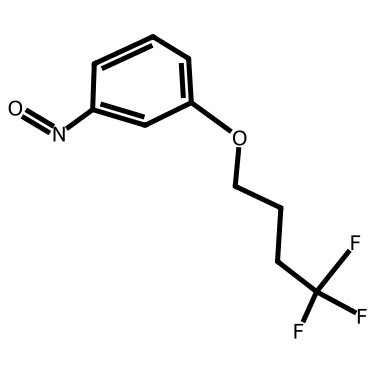 O=Nc1cccc(OCCCC(F)(F)F)c1